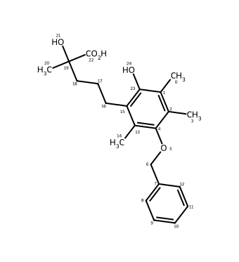 Cc1c(C)c(OCc2ccccc2)c(C)c(CCCC(C)(O)C(=O)O)c1O